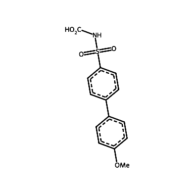 COc1ccc(-c2ccc(S(=O)(=O)NC(=O)O)cc2)cc1